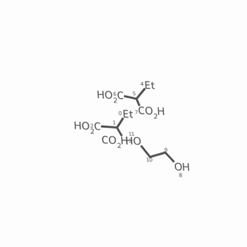 CCC(C(=O)O)C(=O)O.CCC(C(=O)O)C(=O)O.OCCO